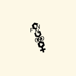 CC(C)(C)c1ccc(S(=O)(=O)C2CCN(c3ncccc3F)CC2)cc1